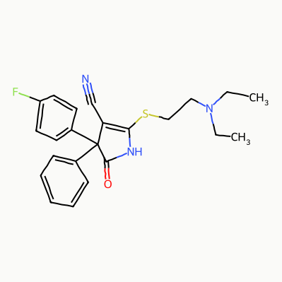 CCN(CC)CCSC1=C(C#N)C(c2ccccc2)(c2ccc(F)cc2)C(=O)N1